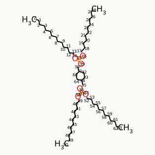 CCCCCCCCCCCCCCOP(OCCCCCCCCCCCC)OCC1CCC(COP(OCCCCCCCCCCCC)OCCCCCCCCCCCC)CC1